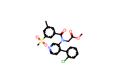 COC(=O)CN(C(=O)c1cc(C)cc(S(C)(=O)=O)c1)c1cnccc1-c1ccccc1Cl